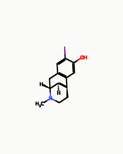 CN1CC[C@]23CCCC[C@@H]2[C@H]1Cc1cc(I)c(O)cc13